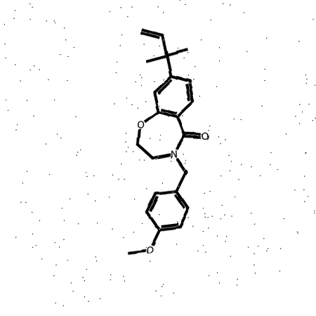 C=CC(C)(C)c1ccc2c(c1)OCCN(Cc1ccc(OC)cc1)C2=O